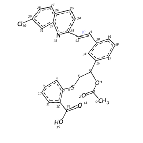 CC(=O)OC(CSc1ccccc1C(=O)O)c1cccc(/C=C/c2ccc3ccc(Cl)cc3n2)c1